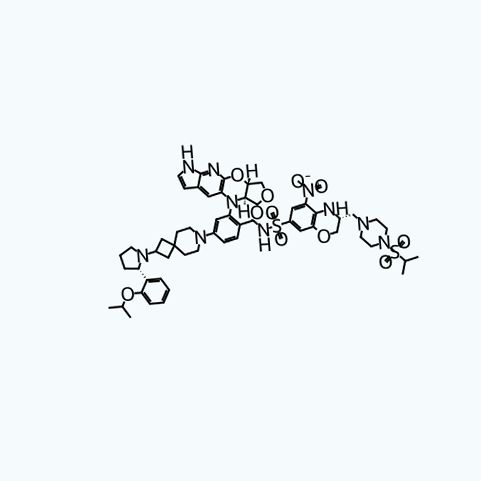 CC(C)Oc1ccccc1[C@@H]1CCCN1C1CC2(CCN(c3ccc(C(=O)NS(=O)(=O)c4cc5c(c([N+](=O)[O-])c4)N[C@H](CN4CCN(S(=O)(=O)C(C)C)CC4)CO5)c(N4c5cc6cc[nH]c6nc5O[C@@H]5COC[C@H]54)c3)CC2)C1